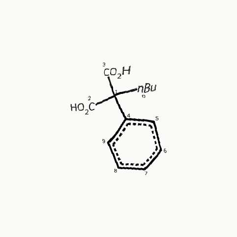 CCCCC(C(=O)O)(C(=O)O)c1ccccc1